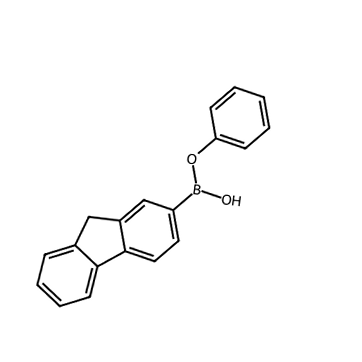 OB(Oc1ccccc1)c1ccc2c(c1)Cc1ccccc1-2